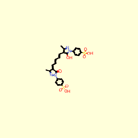 CC1=NN(c2ccc(S(=O)(=O)O)cc2)C(=O)C1=CC=CC=Cc1c(C)nn(-c2ccc(S(=O)(=O)O)cc2)c1O